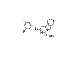 CCC/C=C1/N=C(OCc2cc(F)cc(F)c2)C=C2N1CC1CCCCN21